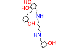 Oc1cccc(CCNCCCCCCNCCc2ccc(O)c(O)c2CCc2cccc(O)c2)c1